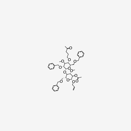 C=CCO[C@@H]1O[C@H](COCc2ccccc2)[C@@H](O[C@H]2O[C@H](COCc3ccccc3)[C@@H](OCCCC(C)=O)[C@H](OC)[C@H]2OCc2ccccc2)[C@H](OC)[C@H]1OC(C)=O